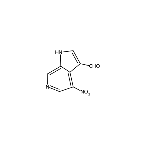 O=Cc1c[nH]c2cncc([N+](=O)[O-])c12